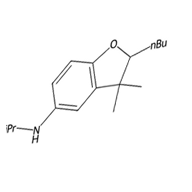 CCCCC1Oc2ccc(NC(C)C)cc2C1(C)C